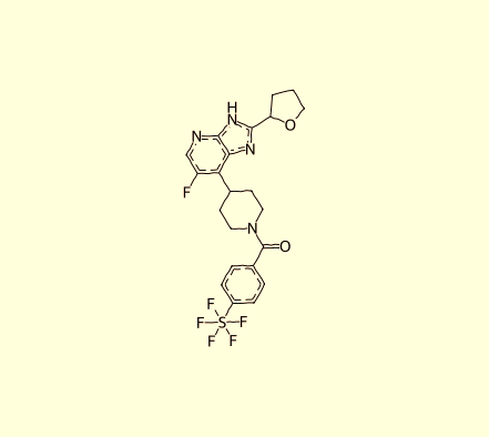 O=C(c1ccc(S(F)(F)(F)(F)F)cc1)N1CCC(c2c(F)cnc3[nH]c(C4CCCO4)nc23)CC1